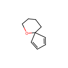 C1=CC2(C=C1)CCCCO2